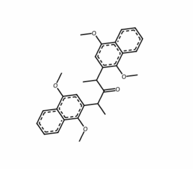 COc1cc(C(C)C(=O)C(C)c2cc(OC)c3ccccc3c2OC)c(OC)c2ccccc12